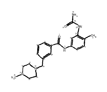 Cc1ccc(NC(=O)c2cccc(CN3CCN(C)CC3)c2)cc1NC(N)=O